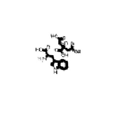 NC(Cc1c[nH]c2ccccc12)C(=O)O.O=C(O)CC(O)(CC(=O)O)C(=O)O